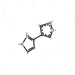 C1=CC(c2cnoc2)=N[N]1